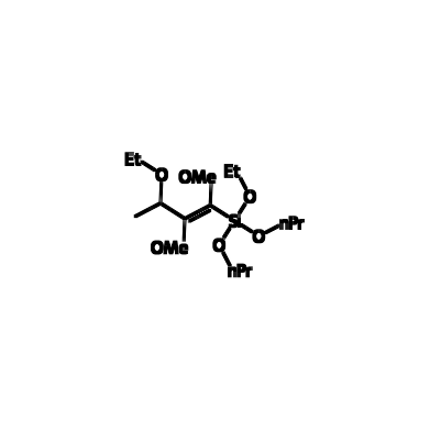 CCCO[Si](OCC)(OCCC)C(OC)=C(OC)C(C)OCC